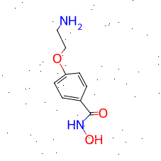 NCCOc1ccc(C(=O)NO)cc1